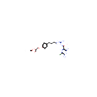 C=C1OCC(COc2ccc(CCCCNC(=N)NC(=O)c3nc(Cl)c(N)nc3N)cc2)O1